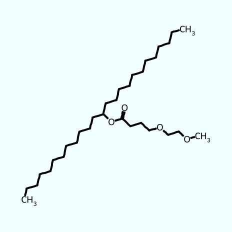 CCCCCCCCCCCCC(CCCCCCCCCCCC)OC(=O)CCCOCCOC